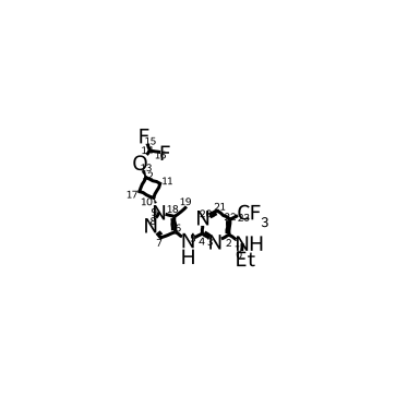 CCNc1nc(Nc2cnn([C@H]3C[C@H](OC(F)F)C3)c2C)ncc1C(F)(F)F